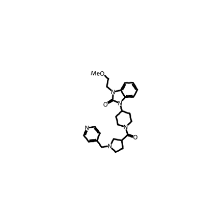 COCCn1c(=O)n(C2CCN(C(=O)C3CCN(Cc4ccncc4)C3)CC2)c2ccccc21